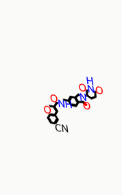 N#Cc1ccc2c(c1)C=C(C(=O)NCc1ccc3c(c1)CN(C1CCC(=O)NC1=O)C3=O)CO2